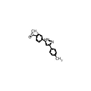 Cc1ccc(-c2cc(-c3ccc([S+](C)[O-])cc3)[nH]n2)cc1